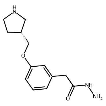 NNC(=O)Cc1cccc(OC[C@@H]2CCNC2)c1